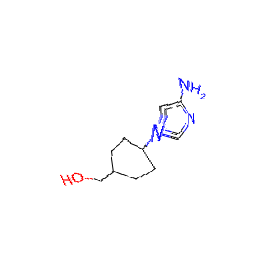 Nc1cn(C2CCC(CO)CC2)cn1